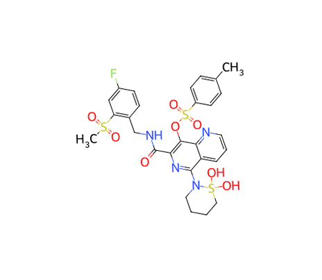 Cc1ccc(S(=O)(=O)Oc2c(C(=O)NCc3ccc(F)cc3S(C)(=O)=O)nc(N3CCCCS3(O)O)c3cccnc23)cc1